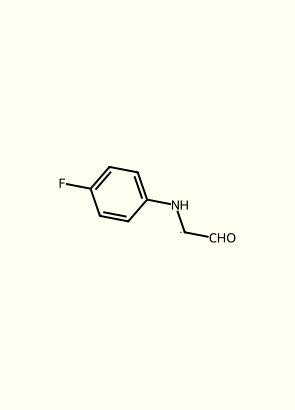 O=C[CH]Nc1ccc(F)cc1